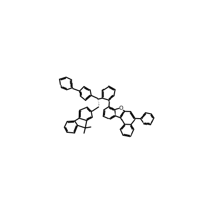 CC1(C)c2ccccc2-c2ccc(C[C@H](c3ccc(-c4ccccc4)cc3)c3ccccc3-c3cccc4c3oc3cc(-c5ccccc5)c5ccccc5c34)cc21